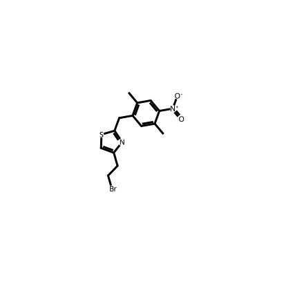 Cc1cc([N+](=O)[O-])c(C)cc1Cc1nc(CCBr)cs1